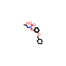 CCCN(Oc1cccc(OCC2CCCCC2)c1)C(=O)O